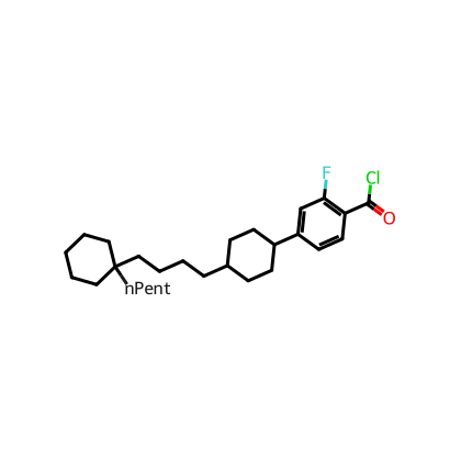 CCCCCC1(CCCCC2CCC(c3ccc(C(=O)Cl)c(F)c3)CC2)CCCCC1